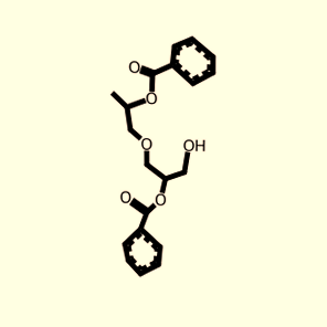 CC(COCC(CO)OC(=O)c1ccccc1)OC(=O)c1ccccc1